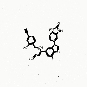 C#Cc1ccc(CN/C(=C\C=N)c2cc(F)c3c(c2)C(c2ccc4[nH]c(=O)[nH]c4c2)C=N3)c(C(C)=O)c1